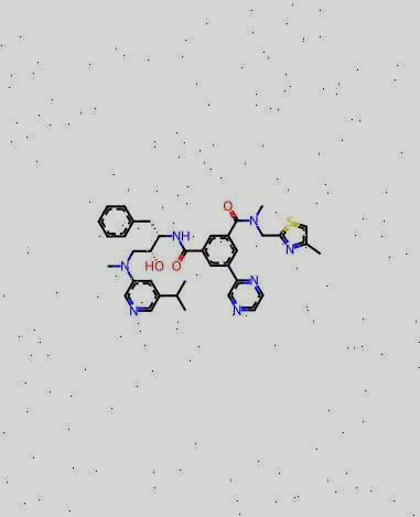 Cc1csc(CN(C)C(=O)c2cc(C(=O)N[C@@H](Cc3ccccc3)[C@H](O)CN(C)c3cncc(C(C)C)c3)cc(-c3cnccn3)c2)n1